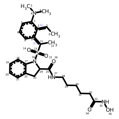 C/C=c1/c(N(C)C)ccc/c1=C(/C)S(=O)(=O)N1c2ccccc2CC1C(=O)NCCCCCC(=O)NO